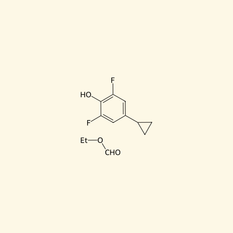 CCOC=O.Oc1c(F)cc(C2CC2)cc1F